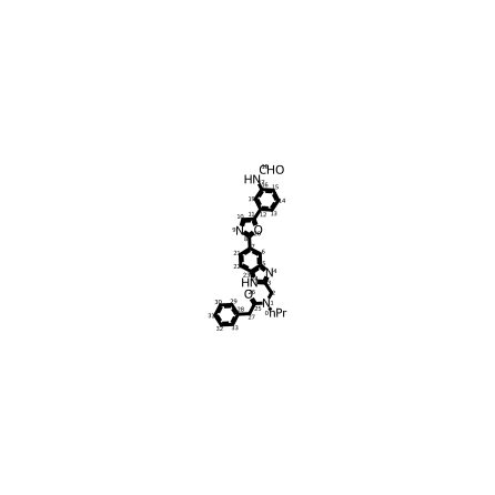 CCCN(Cc1nc2cc(-c3ncc(-c4cccc(NC=O)c4)o3)ccc2[nH]1)C(=O)Cc1ccccc1